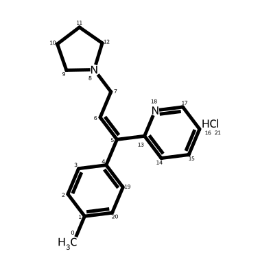 Cc1ccc(/C(=C/CN2CCCC2)c2ccccn2)cc1.Cl